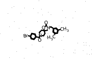 Cc1cc(C)cc(CN2CC3(CCN(C(=O)c4ccc(Br)cc4)CC3)OC2=O)c1